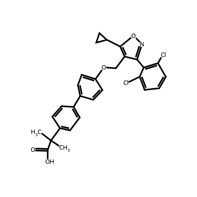 CC(C)(C(=O)O)c1ccc(-c2ccc(OCc3c(-c4c(Cl)cccc4Cl)noc3C3CC3)cc2)cc1